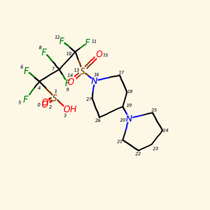 O=S(=O)(O)C(F)(F)C(F)(F)C(F)(F)S(=O)(=O)N1CCC(N2CCCCC2)CC1